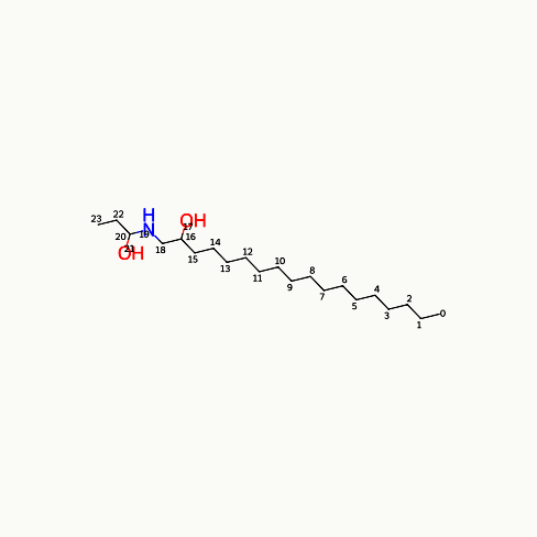 CCCCCCCCCCCCCCCCC(O)CNC(O)CC